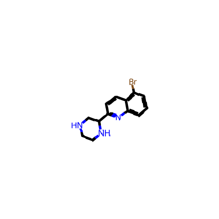 Brc1cccc2nc(C3CNCCN3)ccc12